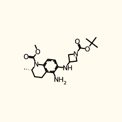 COC(=O)N1c2ccc(NC3CN(C(=O)OC(C)(C)C)C3)c(N)c2CC[C@@H]1C